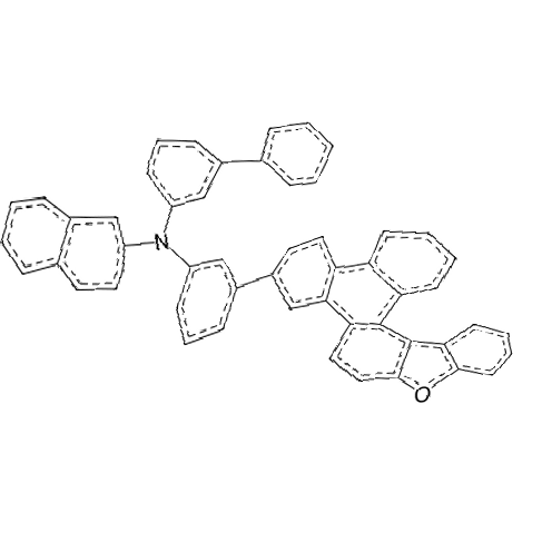 c1ccc(-c2cccc(N(c3cccc(-c4ccc5c6ccccc6c6c(ccc7oc8ccccc8c76)c5c4)c3)c3ccc4ccccc4c3)c2)cc1